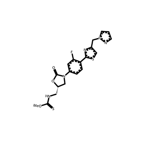 COC(=S)NC[C@H]1CN(c2ccc(-c3nc(Cn4cccn4)cs3)c(F)c2)C(=O)O1